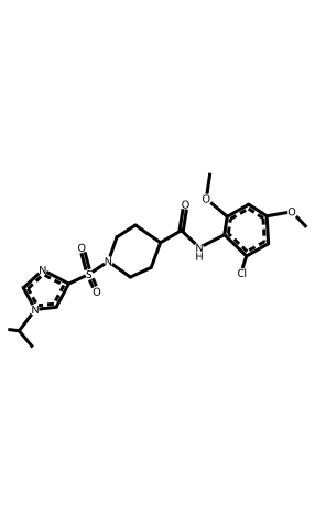 COc1cc(Cl)c(NC(=O)C2CCN(S(=O)(=O)c3cn(C(C)C)cn3)CC2)c(OC)c1